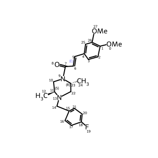 COc1ccc(/C=C/C(=O)N2C[C@H](C)N(Cc3ccc(F)cc3)C[C@H]2C)cc1OC